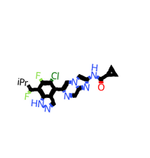 CC(C)C(F)c1c(F)c(Cl)c(-c2cn3cc(NC(=O)C4CC4)nc3cn2)c2cn[nH]c12